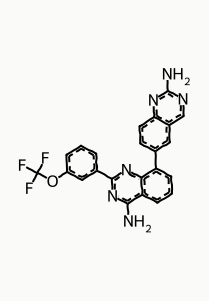 Nc1ncc2cc(-c3cccc4c(N)nc(-c5cccc(OC(F)(F)F)c5)nc34)ccc2n1